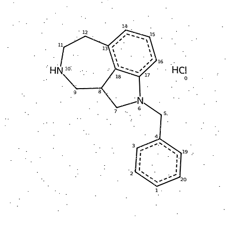 Cl.c1ccc(CN2CC3CNCCc4cccc2c43)cc1